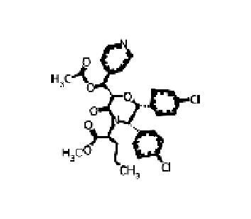 CCCC(C(=O)OC)N1C(=O)[C@@H](C(OC(C)=O)c2ccncc2)O[C@H](c2ccc(Cl)cc2)[C@@H]1c1ccc(Cl)cc1